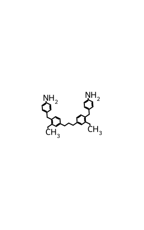 CCc1cc(CCCc2ccc(Cc3ccc(N)cc3)c(CC)c2)ccc1Cc1ccc(N)cc1